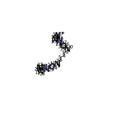 CN(CCCCCCN(C)c1ccc(/N=N/c2n(C)cc[n+]2C)cc1)c1ccc(/N=N/c2n(C)cc[n+]2C)cc1